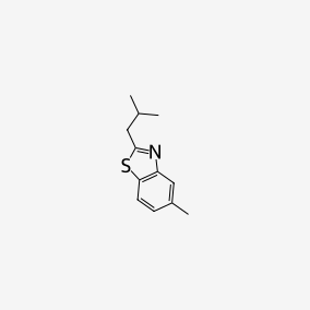 Cc1ccc2sc(CC(C)C)nc2c1